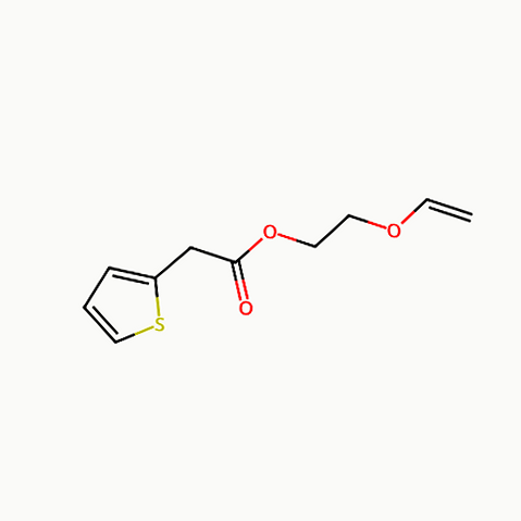 C=COCCOC(=O)Cc1cccs1